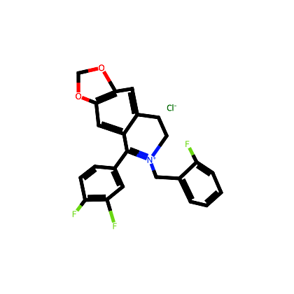 Fc1ccc(C2=[N+](Cc3ccccc3F)CCc3cc4c(cc32)OCO4)cc1F.[Cl-]